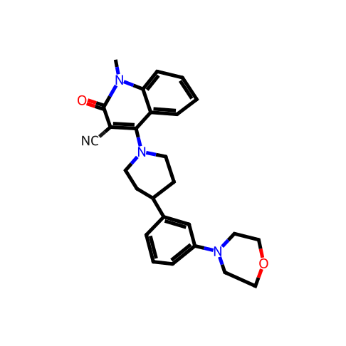 Cn1c(=O)c(C#N)c(N2CCC(c3cccc(N4CCOCC4)c3)CC2)c2ccccc21